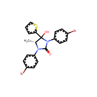 C[C@H]1N(c2ccc(Br)cc2)C(=O)N(c2ccc(Br)cc2)C1(O)c1cccs1